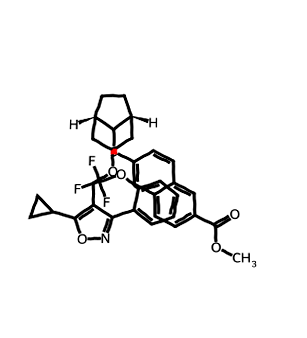 COC(=O)c1ccc2cc(SC3[C@@H]4CC[C@H]3CC(OCc3c(-c5ccccc5OC(F)(F)F)noc3C3CC3)C4)ccc2c1